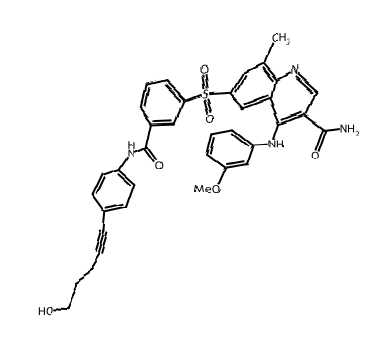 COc1cccc(Nc2c(C(N)=O)cnc3c(C)cc(S(=O)(=O)c4cccc(C(=O)Nc5ccc(C#CCCCO)cc5)c4)cc23)c1